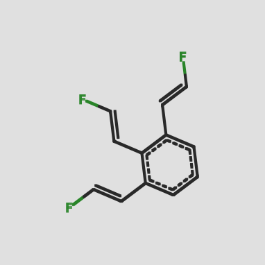 FC=Cc1cccc(C=CF)c1C=CF